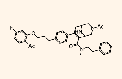 CC(=O)c1ccc(F)cc1OCCCc1ccc(C2=C(C(=O)N(C)CCc3ccccc3)C3CN(C(C)=O)CC(C2)N3)cc1